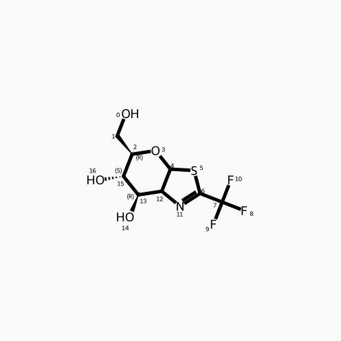 OC[C@H]1OC2SC(C(F)(F)F)=NC2[C@@H](O)[C@@H]1O